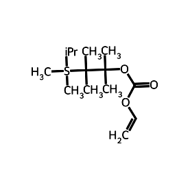 C=COC(=O)OC(C)(C)C(C)(C)S(C)(C)C(C)C